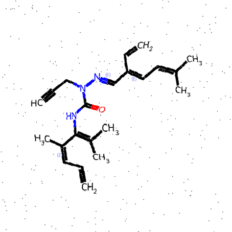 C#CCN(/N=C/C(C=C)=C/C=C(C)C)C(=O)NC(=C(C)C)/C(C)=C\C=C